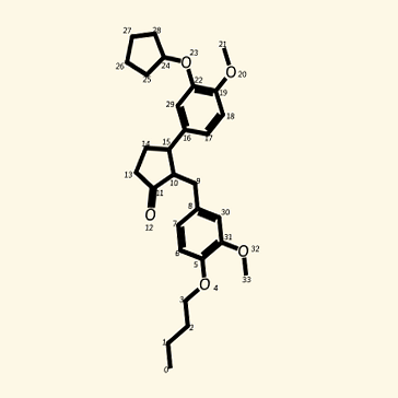 CCCCOc1ccc(CC2C(=O)CCC2c2ccc(OC)c(OC3CCCC3)c2)cc1OC